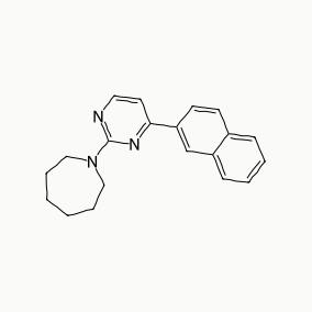 c1ccc2cc(-c3ccnc(N4CCCCCC4)n3)ccc2c1